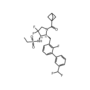 CCS(=O)(=O)N[C@@H]1[C@H](Cc2cccc(-c3cccc(C(F)F)c3)c2F)N(C(=O)C23CC(C2)C3)CC1(F)F